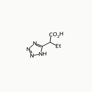 CCC(C(=O)O)c1nnn[nH]1